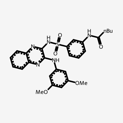 CCCCC(=O)Nc1cccc(S(=O)(=O)Nc2nc3ccccc3nc2Nc2cc(OC)cc(OC)c2)c1